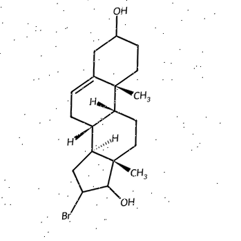 C[C@]12CCC(O)CC1=CC[C@@H]1[C@H]2CC[C@]2(C)C(O)C(Br)C[C@@H]12